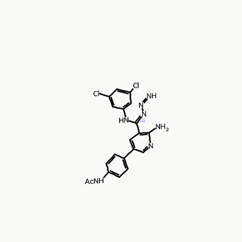 CC(=O)Nc1ccc(-c2cnc(N)c(/C(=N/N=N)Nc3cc(Cl)cc(Cl)c3)c2)cc1